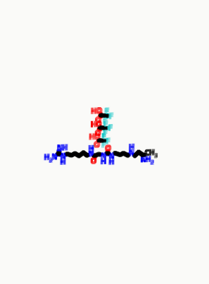 CC(N)CCNCCCCNC(=O)NCC(=O)NCCCCCCNC(=N)N.O=C(O)C(F)(F)F.O=C(O)C(F)(F)F.O=C(O)C(F)(F)F